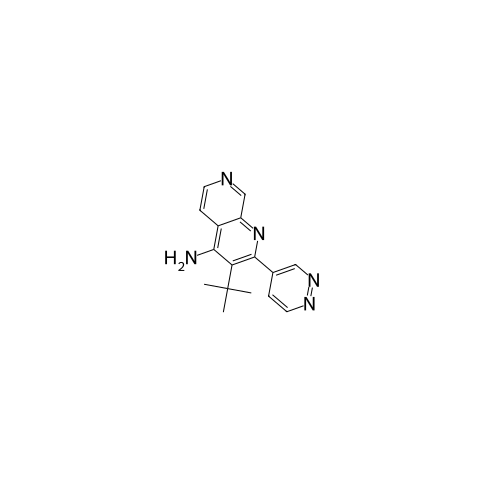 CC(C)(C)c1c(-c2ccnnc2)nc2cnccc2c1N